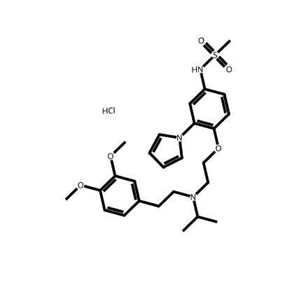 COc1ccc(CCN(CCOc2ccc(NS(C)(=O)=O)cc2-n2cccc2)C(C)C)cc1OC.Cl